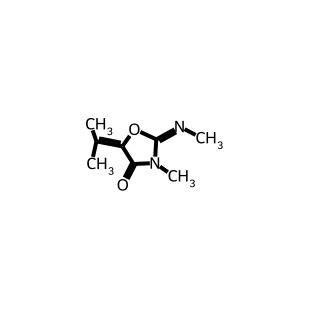 CN=C1OC(=C(C)C)C(=O)N1C